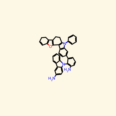 Nc1ccc2c(c1)c1ccccc1n2-c1c(N)cccc1-c1ccc2c3c(n(-c4ccccc4)c2c1)CCc1c-3oc2c1CCC=C2